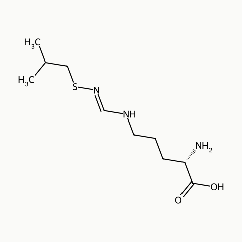 CC(C)CSN=CNCCC[C@H](N)C(=O)O